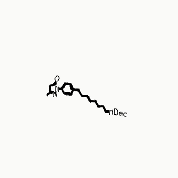 CCCCCCCCCCCCCCCCCCc1ccc(N2N=C(C)CC2=O)cc1